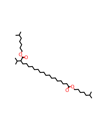 CC(C)CCCCCOC(=O)CCCCCCCCCCCCCCCCC(C(=O)OCCCCCC(C)C)C(C)C